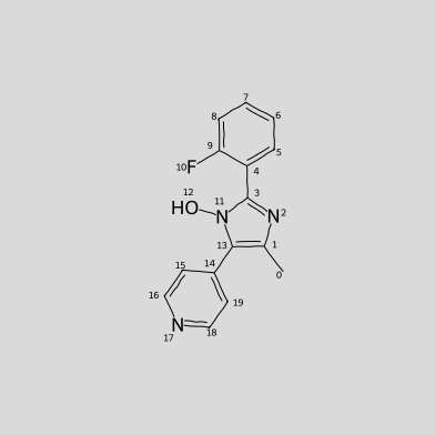 Cc1nc(-c2ccccc2F)n(O)c1-c1ccncc1